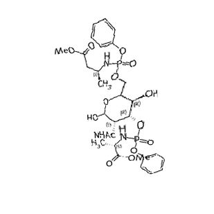 COC(=O)C[C@H](C)NP(=O)(OCC1OC(O)[C@@H](NC(C)=O)[C@@H](OP(=O)(N[C@@H](C)C(=O)OC)Oc2ccccc2)[C@@H]1O)Oc1ccccc1